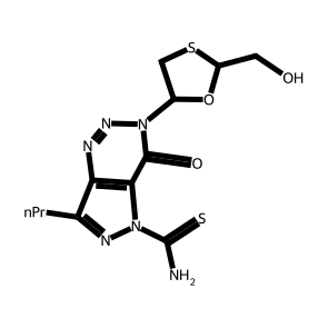 CCCc1nn(C(N)=S)c2c(=O)n(C3CSC(CO)O3)nnc12